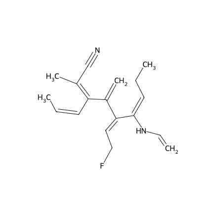 C=CNC(=C/CC)/C(=C\CF)C(=C)C(/C=C\C)=C(/C)C#N